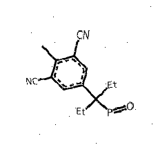 CCC(CC)(P=O)c1cc(C#N)c(C)c(C#N)c1